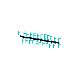 F[CH]C(F)(F)C(F)(F)C(F)(F)C(F)(F)C(F)(F)C(F)(F)C(F)(F)C(F)(F)C(F)(F)C(F)(F)C(F)F